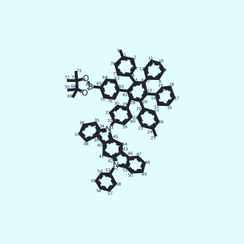 Cc1ccc(-c2c(-c3ccccc3)c(-c3ccccc3)c(-c3ccc(C)cc3)c(-c3ccc(-n4c5ccccc5c5cc6c(cc54)c4ccccc4n6-c4ccccc4)cc3)c2-c2ccc(B3OC(C)(C)C(C)(C)O3)cc2)cc1